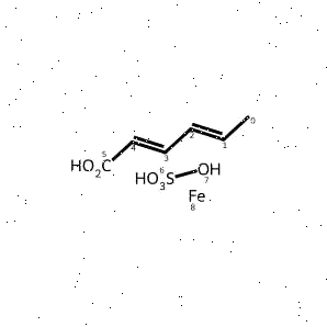 C/C=C/C=C/C(=O)O.O=S(=O)(O)O.[Fe]